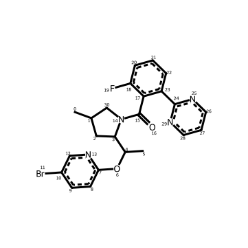 CC1CC(C(C)Oc2ccc(Br)cn2)N(C(=O)c2c(F)cccc2-c2ncccn2)C1